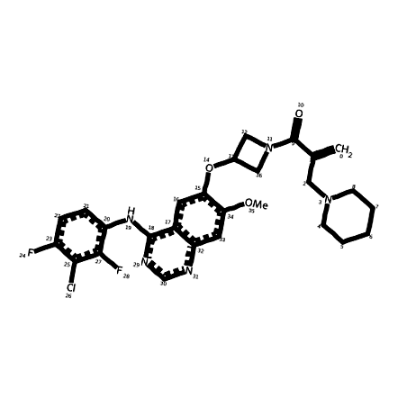 C=C(CN1CCCCC1)C(=O)N1CC(Oc2cc3c(Nc4ccc(F)c(Cl)c4F)ncnc3cc2OC)C1